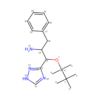 CC(C)(C)[Si](C)(C)OC(c1nc[nH]n1)C(N)Cc1ccccc1